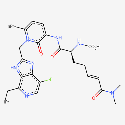 CCCc1ccc(NC(=O)[C@H](CC/C=C/C(=O)N(C)C)NC(=O)O)c(=O)n1Cc1nc2c(F)cnc(CC(C)C)c2[nH]1